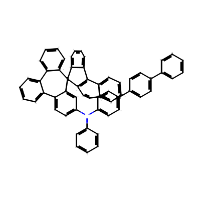 c1ccc(-c2ccc(-c3ccc(N(c4ccccc4)c4ccc5c(c4)C4(c6ccccc6-c6ccccc6-5)c5ccccc5-c5c4ccc4ccccc54)cc3)cc2)cc1